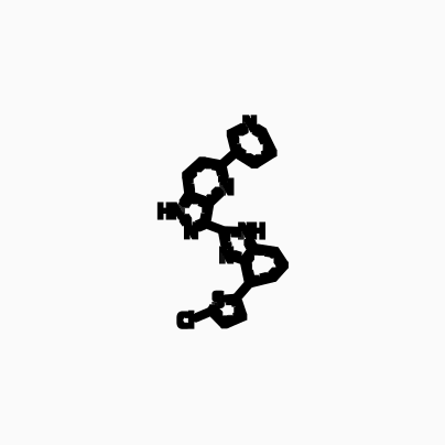 Clc1ccc(-c2cccc3[nH]c(-c4n[nH]c5ccc(-c6cccnc6)nc45)nc23)s1